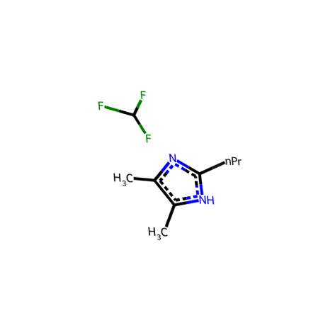 CCCc1nc(C)c(C)[nH]1.FC(F)F